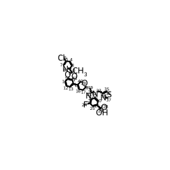 C[C@]1(c2ccc(Cl)cn2)Oc2cccc(C3=CC[C@@H](Cc4nc5c(F)cc(C(=O)O)cc5n4Cc4cscn4)OC3)c2O1